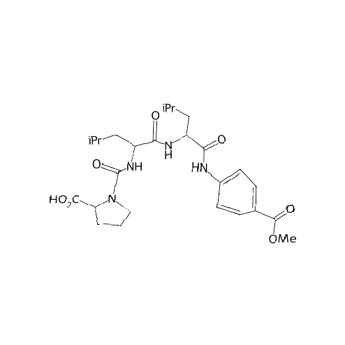 COC(=O)c1ccc(NC(=O)C(CC(C)C)NC(=O)C(CC(C)C)NC(=O)N2CCCC2C(=O)O)cc1